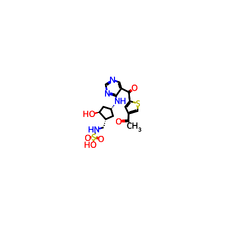 CC(=O)c1csc(C(=O)c2cncnc2N[C@@H]2C[C@H](CNS(=O)(=O)O)[C@@H](O)C2)c1